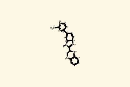 CN1C(C2COc3ccccc3O2)=NC2C=CC(c3ccnc(N)n3)=CC21